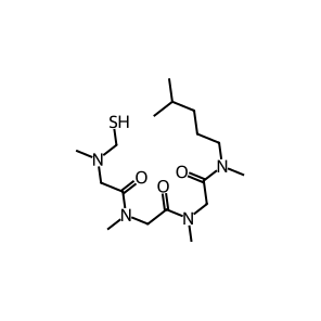 CC(C)CCCN(C)C(=O)CN(C)C(=O)CN(C)C(=O)CN(C)CS